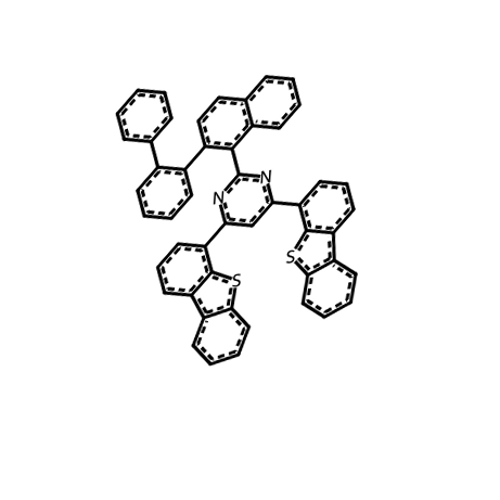 c1ccc(-c2ccccc2-c2ccc3ccccc3c2-c2nc(-c3cccc4c3sc3ccccc34)cc(-c3cccc4c3sc3ccccc34)n2)cc1